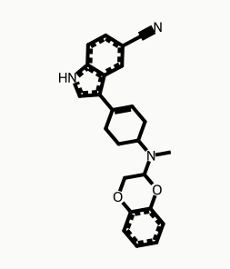 CN(C1CC=C(c2c[nH]c3ccc(C#N)cc23)CC1)C1COc2ccccc2O1